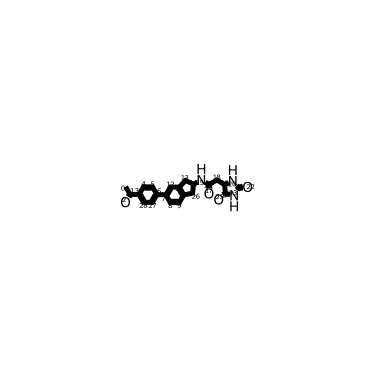 CC(=O)c1ccc(-c2ccc3c(c2)CC(NC(=O)CC2NC(=O)NC2=O)C3)cc1